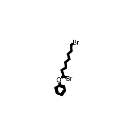 BrCCCCCCCC(Br)Oc1ccccc1